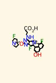 CCc1c(F)ccc2cc(O)cc(-c3ncc4c(NCCCC(=O)O)nc(OC[C@@]56CCCN5C[C@H](F)C6)nc4c3F)c12